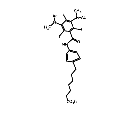 CC(=O)N(C)c1c(I)c(C(=O)Nc2ccc(CCCCCCC(=O)O)cc2)c(I)c(N(C)C(C)=O)c1I